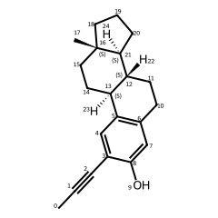 CC#Cc1cc2c(cc1O)CC[C@@H]1[C@@H]2CC[C@]2(C)CCC[C@@H]12